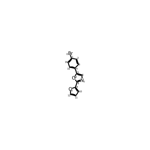 Brc1ccc(-c2cnc(-c3ccco3)o2)cc1